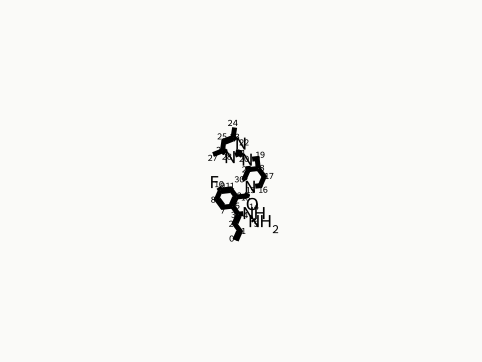 C=C/C=C(\NN)c1ccc(F)cc1C(=O)N1CCC2CN(c3nc(C)cc(C)n3)C2C1